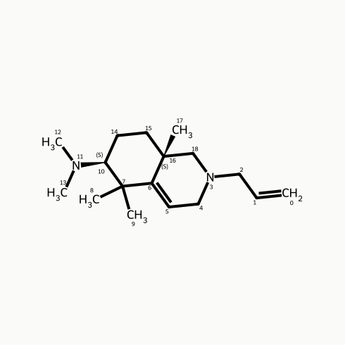 C=CCN1CC=C2C(C)(C)[C@@H](N(C)C)CC[C@]2(C)C1